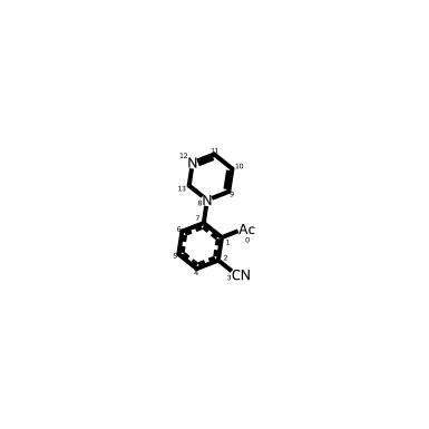 CC(=O)c1c(C#N)cccc1N1C=CC=NC1